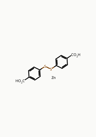 O=C(O)c1ccc(SSc2ccc(C(=O)O)cc2)cc1.[Zn]